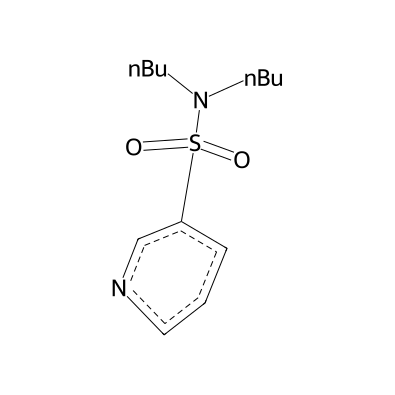 CCCCN(CCCC)S(=O)(=O)c1cccnc1